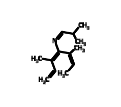 C=C/C(C)=C(/N=C\C(C)C)C(\C)=C/C